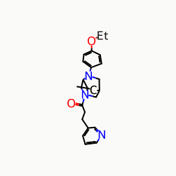 CCOc1ccc(N2CC3CN(C(=O)CCc4cccnc4)CC2C(C)(C)C3)cc1